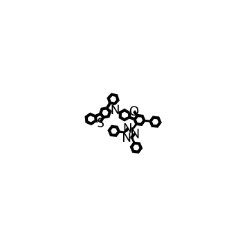 c1ccc(-c2cc(-c3nc(-c4ccccc4)nc(-c4ccccc4)n3)c3c(c2)oc2cc(-n4c5ccccc5c5cc6c(cc54)sc4ccccc46)ccc23)cc1